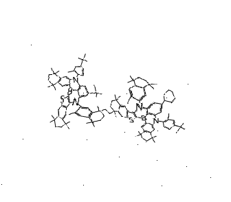 Cc1cc(C(C)(C)C)ccc1N1c2cc3c(cc2B2c4sc5cc6c(cc5c4N(c4cc5c(cc4C)C(C)(C)CCC5(C)CCC4(C)CCC(C)(C)c5cc7c8c(sc7cc54)B4c5cc7c(cc5N(c5ccc(C(C)(C)C)cc5C)c5cc(C9CCCCC9)cc(c54)N8c4cc5c(cc4C)C(C)(C)CCC5(C)C)C(C)(C)CCC7(C)C)c4cc(C(C)(C)C)cc1c42)C(C)(C)CCC6(C)C)C(C)(C)CCC3(C)C